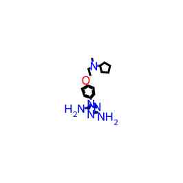 CN(CCOc1ccc(-n2nc(N)nc2N)cc1)C1CCCC1